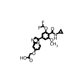 COc1cc(-c2cnc3cc(OCC(=O)O)ccn23)cc(OC(F)F)c1C(=O)NC1CC1